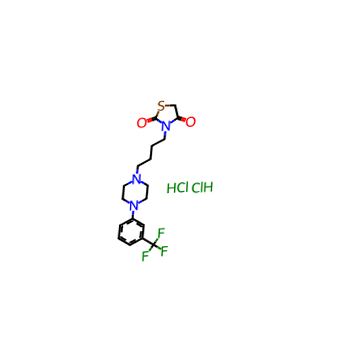 Cl.Cl.O=C1CSC(=O)N1CCCCN1CCN(c2cccc(C(F)(F)F)c2)CC1